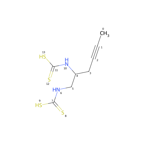 CC#CCC(CNC(=S)S)NC(=S)S